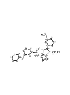 CCOC(=O)C1c2[nH]nc(NC(=O)c3cccc(Oc4ccccc4)c3)c2CN1c1ccnc(SC)n1